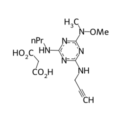 C#CCNc1nc(NCCC)nc(N(C)OC)n1.O=C(O)CC(=O)O